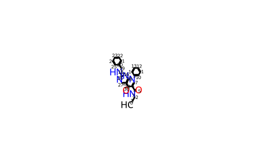 C#CCNC(=O)c1cn(-c2ccccc2)c2nc(NCc3ccccc3)ncc2c1=O